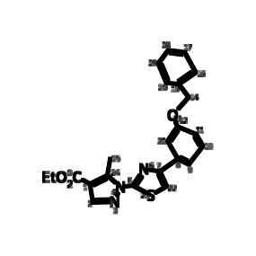 CCOC(=O)c1cnn(-c2nc(-c3cccc(OCc4ccccc4)c3)cs2)c1C